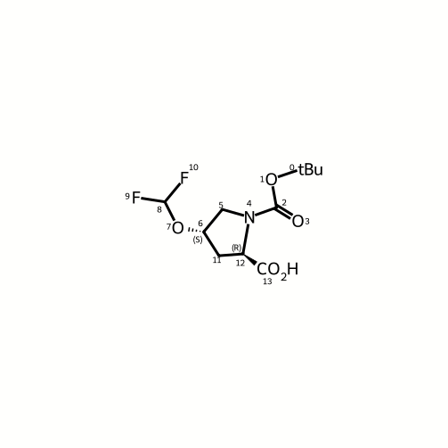 CC(C)(C)OC(=O)N1C[C@@H](OC(F)F)C[C@@H]1C(=O)O